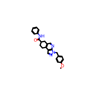 COc1ccc(Cn2ncc3c4c(cnc32)CC(C(=O)Nc2ccccc2)CC4)cc1